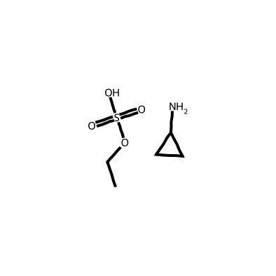 CCOS(=O)(=O)O.NC1CC1